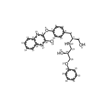 OC[C@H](Cc1ccc(Oc2nc3ccccc3nc2Cl)cc1)NC[C@H](O)COc1ccccc1